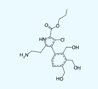 CCCOC(=O)c1[nH]c(CCN)c(-c2ccc(CO)c(CO)c2CO)c1Cl